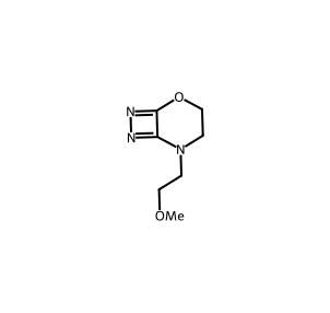 COCCN1CCOC2=NN=C21